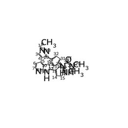 CCn1cc(-c2ccnc3c2CC(C2=CCNCC2)N3)c(-c2ccc(NC(=O)N(C)C)cc2)n1